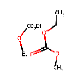 CCOC(=O)OC.CCOC(=O)OCC